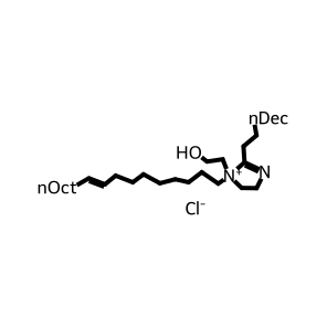 CCCCCCCCC=CCCCCCCCC[N+]1(CCO)CCN=C1CCCCCCCCCCCC.[Cl-]